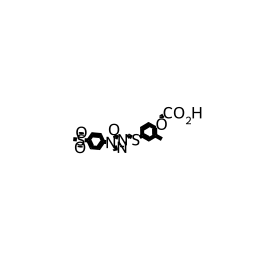 Cc1cc(SCn2ncn(-c3ccc(S(C)(=O)=O)cc3)c2=O)ccc1OCC(=O)O